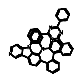 c1ccc(-c2nc(-c3ccccc3)nc(-c3cccc(-n4c5ccncc5c5ccc6c(c54)N(c4ccccc4)c4ccccc4-c4ccccc4-6)c3)n2)cc1